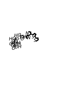 O=P(O)(O)OP(=O)(O)OP(=O)(O)OC[C@H]1O[C@@H](n2cnc3c(-c4ccc(-c5cccs5)s4)ccnc32)C[C@@H]1O